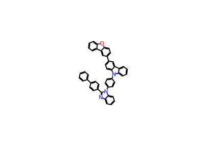 c1ccc(-c2ccc(-c3nc4ccccc4n3-c3ccc(-n4c5ccccc5c5cc(-c6ccc7oc8ccccc8c7c6)ccc54)cc3)cc2)cc1